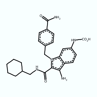 NC(=O)c1ccc(Cn2c(C(=O)NCC3CCCCC3)c(N)c3ccc(NC(=O)O)cc32)cc1